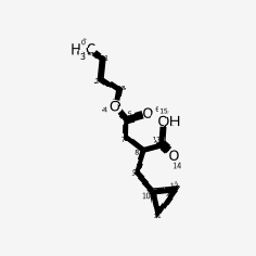 CCCCOC(=O)CC(CC1CC1)C(=O)O